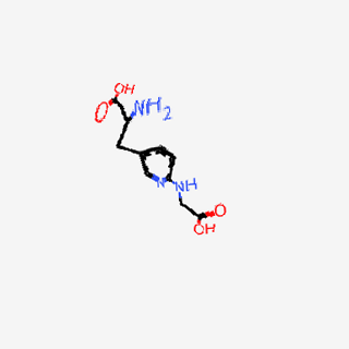 NC(Cc1ccc(NCC(=O)O)nc1)C(=O)O